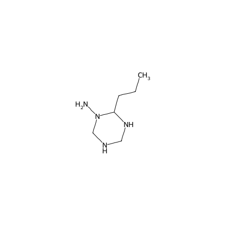 CCCC1NCNCN1N